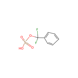 O=S(=O)(O)OC(F)(F)c1ccccc1